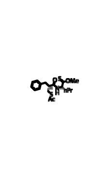 CCC[C@H](NC(=O)[C@H](CSC(C)=O)Cc1ccccc1)C(=S)OC